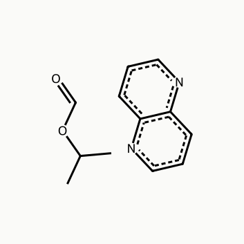 CC(C)OC=O.c1cnc2cccnc2c1